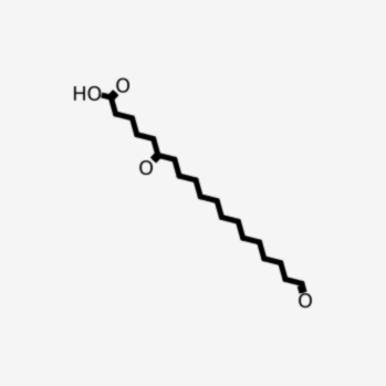 O=CCCCCCCCCCCCCC(=O)CCCCC(=O)O